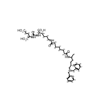 CC(CCCCN(Cc1ccccn1)Cc1ccccn1)NC(=O)CCCCCCC(=O)NCCCCC(NC(=O)NC(CCC(=O)O)C(=O)O)C(=O)O